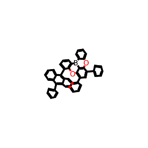 c1ccc(-c2cc(-c3ccccc3)c3c4c2Oc2ccccc2B4c2cccc(-c4c5ccccc5c(-c5ccccc5)c5ccccc45)c2O3)cc1